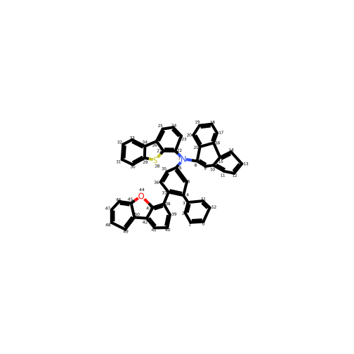 c1ccc(-c2cc(N(c3cc4ccccc4c4ccccc34)c3cccc4c3sc3ccccc34)ccc2-c2cccc3c2oc2ccccc23)cc1